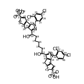 O=S(=O)(O)c1cc2c(s1)Cc1c(C(O)CCCCCC(O)c3nn(-c4ccc(Cl)cc4Cl)c4c3Cc3sc(S(=O)(=O)O)cc3-4)nn(-c3ccc(Cl)cc3Cl)c1-2